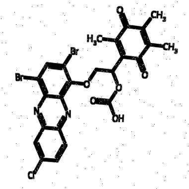 CC1=C(C)C(=O)C(C(COc2c(Br)cc(Br)c3nc4cc(Cl)ccc4nc23)OC(=O)O)=C(C)C1=O